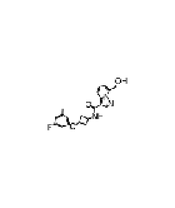 O=C(NC1CC(Oc2cc(F)cc(F)c2)C1)c1cnn2c(CO)cccc12